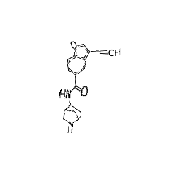 C#Cc1coc2ccc(C(=O)NC3CC4CC3CN4)cc12